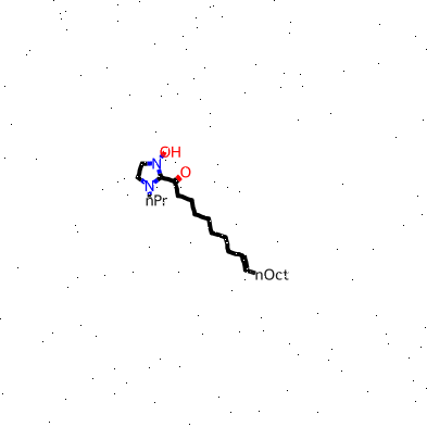 CCCCCCCCC=CCCCCCCCC(=O)C1N(O)CCN1CCC